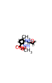 CC(=O)Nc1c(C(=O)O)ccc(C)c1NC[C@@H]1CCO1